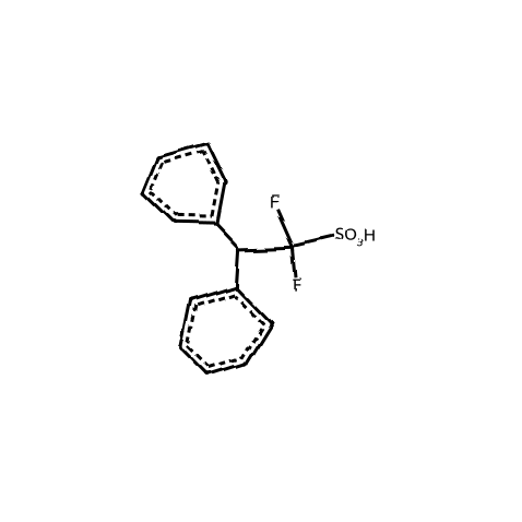 O=S(=O)(O)C(F)(F)C(c1ccccc1)c1ccccc1